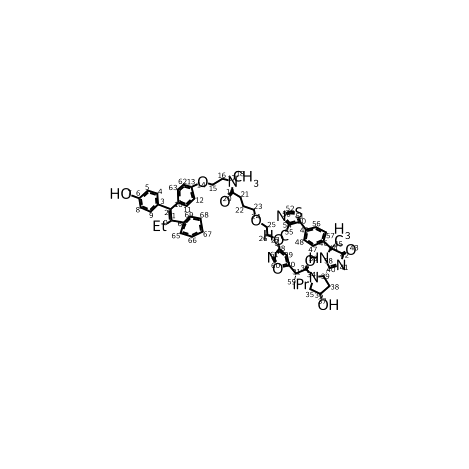 CC/C(=C(\c1ccc(O)cc1)c1ccc(OCCN(C)C(=O)CCCOCCOc2cc([C@H](C(=O)N3C[C@H](O)C[C@H]3C3=NC(=O)[C@@](C)(c4ccc(-c5scnc5C)cc4)N3)C(C)C)on2)cc1)c1ccccc1